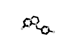 O=c1ccn2c(n1)N(Cc1ccc(Cl)nc1)CCC2